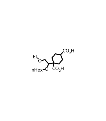 CCCCCCOC(COCC)C1(C(=O)O)CCC(C(=O)O)CC1